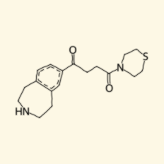 O=C(CCC(=O)N1CCSCC1)c1ccc2c(c1)CCNCC2